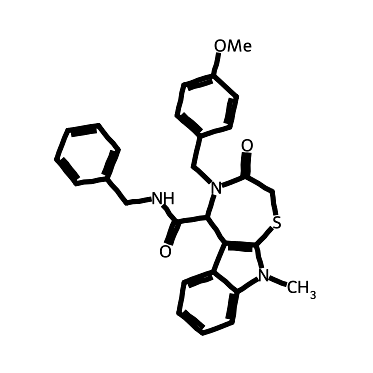 COc1ccc(CN2C(=O)CSc3c(c4ccccc4n3C)C2C(=O)NCc2ccccc2)cc1